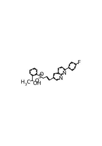 CC(O)c1ccccc1S(=O)(=O)CC=Cc1cnc2nc(-c3ccc(F)cc3)ccc2c1